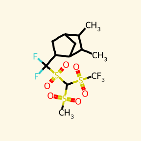 CC1C2CC(C1C)C(C(F)(F)S(=O)(=O)C(S(C)(=O)=O)S(=O)(=O)C(F)(F)F)C2